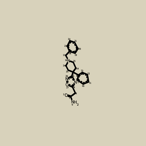 NC(=O)Cc1nc(C2(c3ccccc3)CCN(Cc3ccccc3)CC2)no1